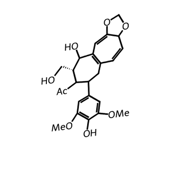 COc1cc(C2CC3=C(C=C4OCOC4C=C3)C(O)[C@@H](CO)C2C(C)=O)cc(OC)c1O